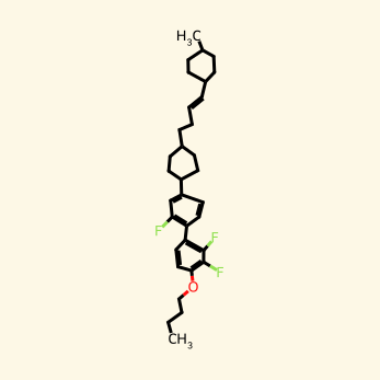 CCCCOc1ccc(-c2ccc(C3CCC(CC/C=C/C4CCC(C)CC4)CC3)cc2F)c(F)c1F